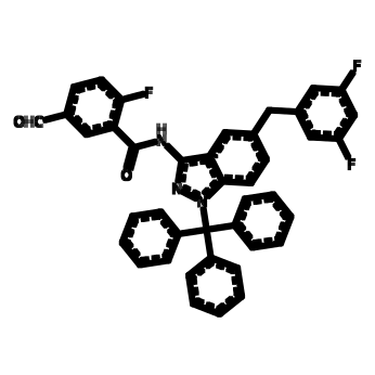 O=Cc1ccc(F)c(C(=O)Nc2nn(C(c3ccccc3)(c3ccccc3)c3ccccc3)c3ccc(Cc4cc(F)cc(F)c4)cc23)c1